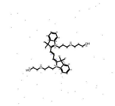 CC1(C)C(/C=C/C=C2/N(CCCOCCO)c3ccccc3C2(C)C)=[N+](CCCOCCCO)c2ccccc21